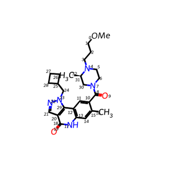 COCCCN1CCN(C(=O)c2cc3c(cc2C)[nH]c(=O)c2cnn(CC4CCC4)c23)C[C@H]1C